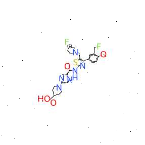 COc1ccc(-c2nc(NC(=O)c3cnc(N4CCC(C(=O)O)CC4)cn3)sc2CN2CC[C@H](F)C2)cc1CF